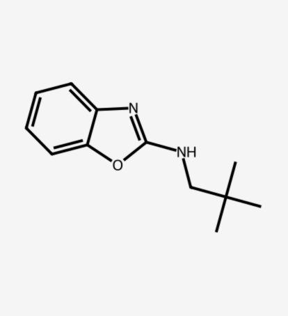 CC(C)(C)CNc1nc2ccccc2o1